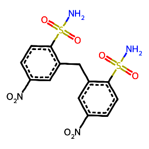 NS(=O)(=O)c1ccc([N+](=O)[O-])cc1Cc1cc([N+](=O)[O-])ccc1S(N)(=O)=O